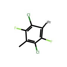 Cc1c(F)c(Cl)c(C(C)C)c(F)c1Cl